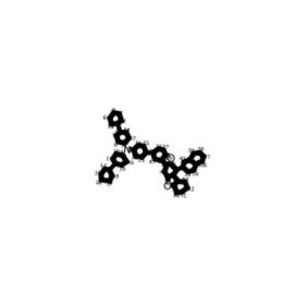 c1ccc(-c2ccc(N(c3ccc(-c4ccccc4)cc3)c3ccc(-c4ccc5oc6c(-c7ccc8ccccc8c7)c7c(cc6c5c4)oc4ccccc47)cc3)cc2)cc1